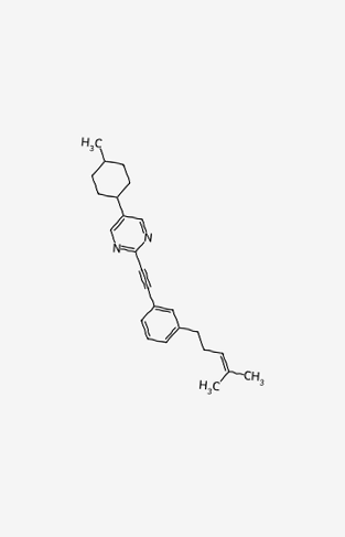 CC(C)=CCCc1cccc(C#Cc2ncc(C3CCC(C)CC3)cn2)c1